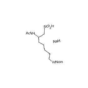 CCCCCCCCCCCCCCC(CS(=O)(=O)O)NC(C)=O.[NaH]